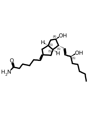 CCCCC[C@H](O)C=C[C@@H]1[C@H]2CC(=CCCCCC(N)=O)C[C@H]2C[C@H]1O